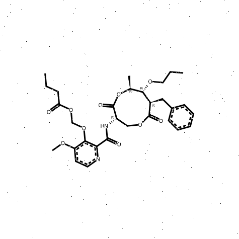 CCCO[C@H]1[C@H](C)OC(=O)[C@@H](NC(=O)c2nccc(OC)c2OCOC(=O)CCC)COC(=O)[C@@H]1Cc1ccccc1